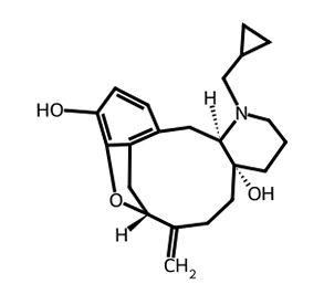 C=C1CC[C@]2(O)CCCN(CC3CC3)[C@@H]2Cc2ccc(O)c3c2C[C@H]1O3